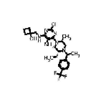 CC[C@@H]1CN(c2nc(Cl)nc(NCC3(O)CCC3)c2N)[C@@H](C)CN1C(C)c1ccc(C(F)(F)F)cc1